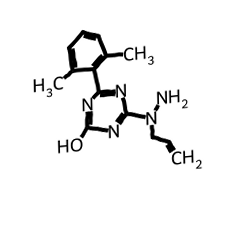 C=CCN(N)c1nc(O)nc(-c2c(C)cccc2C)n1